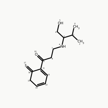 CC(C)C(CO)NCCC(=O)C1=CC=CCC1=S